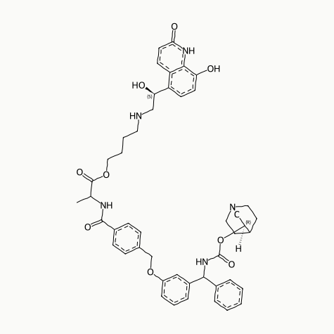 CC(NC(=O)c1ccc(COc2cccc(C(NC(=O)O[C@H]3CN4CCC3CC4)c3ccccc3)c2)cc1)C(=O)OCCCCNC[C@@H](O)c1ccc(O)c2[nH]c(=O)ccc12